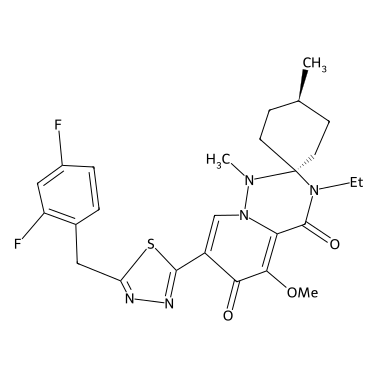 CCN1C(=O)c2c(OC)c(=O)c(-c3nnc(Cc4ccc(F)cc4F)s3)cn2N(C)[C@]12CC[C@H](C)CC2